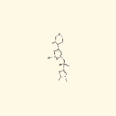 CC1N=C(S(=O)(=O)Cc2cc(N3CCOC[C@@H]3C)nc(Cl)n2)SC1C